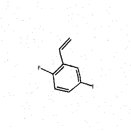 C=Cc1cc(I)ccc1F